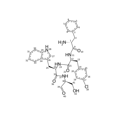 N[C@H](Cc1ccccc1)C(=O)N[C@@H](Cc1ccc(Cl)cc1)C(=O)N[C@H](Cc1c[nH]c2ccccc12)C(=O)N[C@H]([C]=O)CO